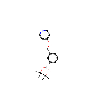 CC1(C)OB(c2cccc(COc3ccncc3)c2)OC1(C)C